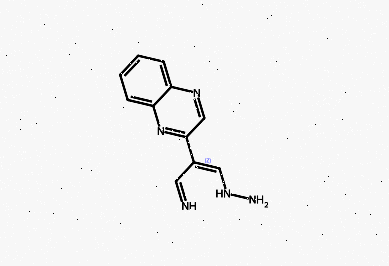 N=C/C(=C\NN)c1cnc2ccccc2n1